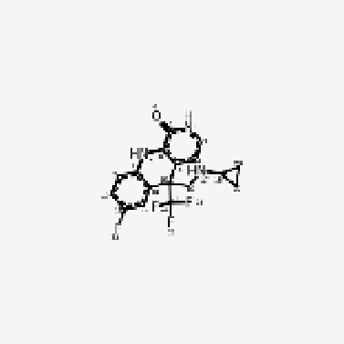 O=c1[nH]ccc2c1Nc1ccc(F)cc1C2(CNC1CC1)C(F)(F)F